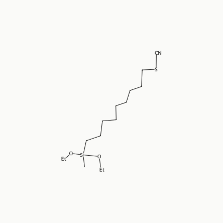 CCO[Si](C)(CCCCCCCCCSC#N)OCC